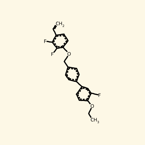 C=Cc1ccc(OCc2ccc(-c3ccc(OCC)c(F)c3)cc2)c(F)c1F